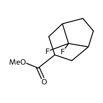 COC(=O)C1CC2CCC(C1)C2(F)F